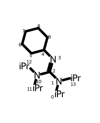 CC(C)N(C(=NC1CCCCC1)N(C(C)C)C(C)C)C(C)C